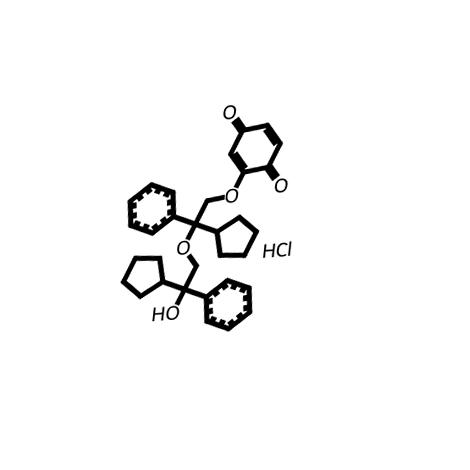 Cl.O=C1C=CC(=O)C(OCC(OCC(O)(c2ccccc2)C2CCCC2)(c2ccccc2)C2CCCC2)=C1